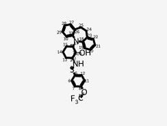 O[C@@H]1[C@@H](NSc2ccc(OC(F)(F)F)cc2)CCC[C@H]1N1c2ccccc2CCc2ccccc21